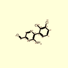 Nc1nc(C=O)cnc1-c1cccc(Cl)c1Cl